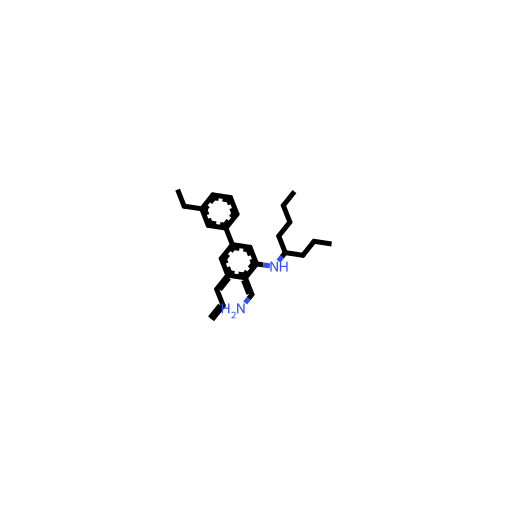 C=C/C=c1/cc(-c2cccc(CC)c2)cc(NC(CCC)CCCC)/c1=C/N